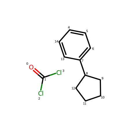 O=C(Cl)Cl.c1ccc(C2CCCC2)cc1